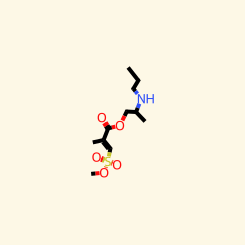 CCCNC(C)COC(=O)C(C)=CS(=O)(=O)OC